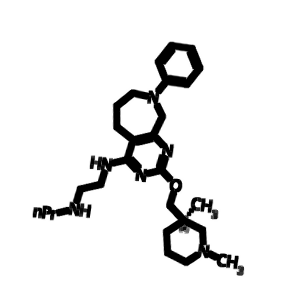 CCCNCCNc1nc(OC[C@]2(C)CCCN(C)C2)nc2c1CCCN(c1ccccc1)C2